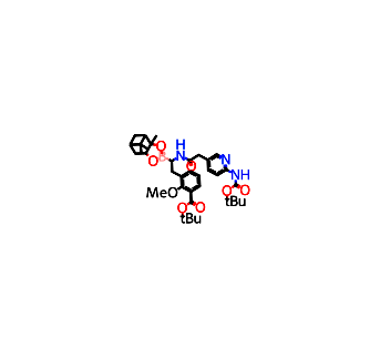 COc1c(CC(NC(=O)Cc2ccc(NC(=O)OC(C)(C)C)nc2)B2OC3CC4CC(C4(C)C)C3(C)O2)cccc1C(=O)OC(C)(C)C